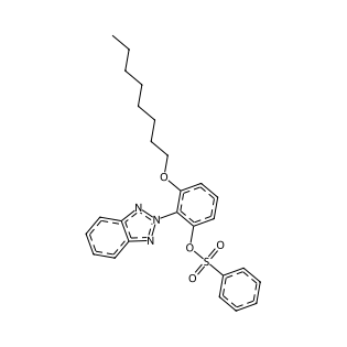 CCCCCCCCOc1cccc(OS(=O)(=O)c2ccccc2)c1-n1nc2ccccc2n1